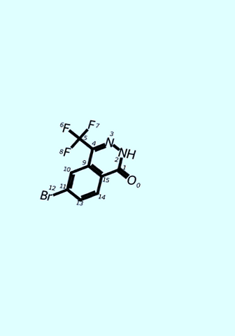 O=c1[nH]nc(C(F)(F)F)c2cc(Br)ccc12